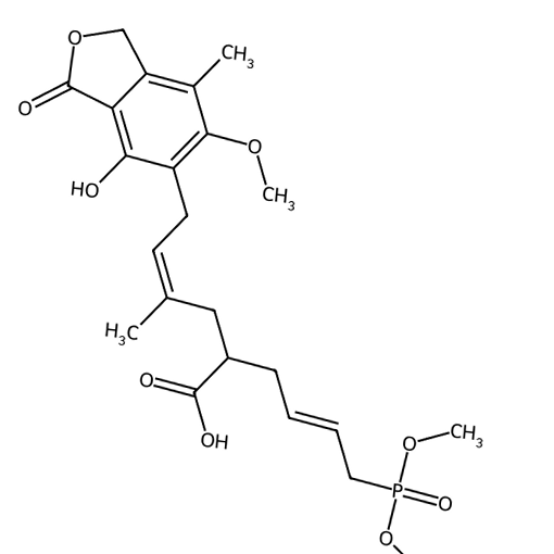 COc1c(C)c2c(c(O)c1CC=C(C)CC(CC=CCP(=O)(OC)OC)C(=O)O)C(=O)OC2